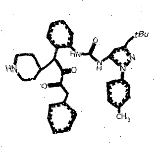 Cc1ccc(-n2nc(C(C)(C)C)cc2NC(=O)Nc2ccccc2C(C(=O)C(=O)Cc2ccccc2)C2CCNCC2)cc1